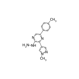 Cc1ccc(-c2cnc(NN)c(-c3cnn(C)c3)n2)cc1